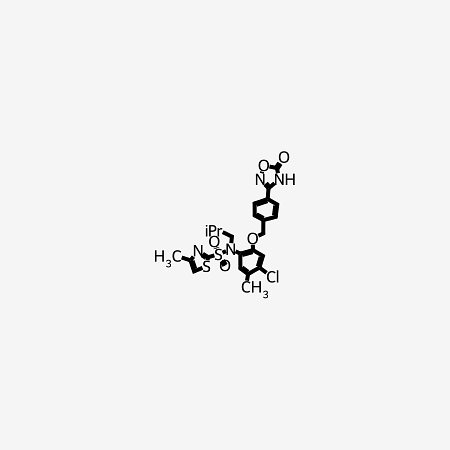 Cc1csc(S(=O)(=O)N(CC(C)C)c2cc(C)c(Cl)cc2OCc2ccc(-c3noc(=O)[nH]3)cc2)n1